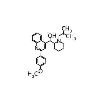 COc1ccc(-c2cc(C(O)C3CCCCN3C[C](C)C)c3ccccc3n2)cc1